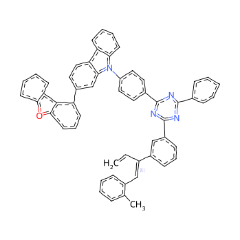 C=C/C(=C\c1ccccc1C)c1cccc(-c2nc(-c3ccccc3)nc(-c3ccc(-n4c5ccccc5c5ccc(-c6cccc7oc8ccccc8c67)cc54)cc3)n2)c1